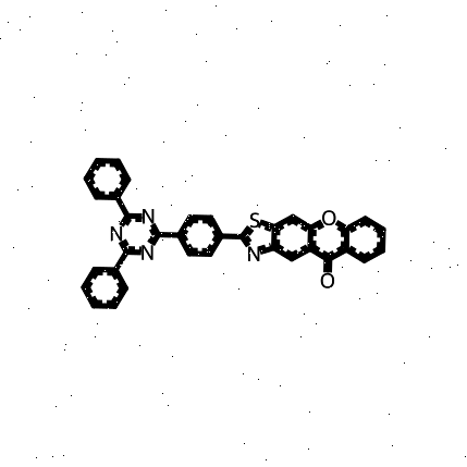 O=c1c2ccccc2oc2cc3sc(-c4ccc(-c5nc(-c6ccccc6)nc(-c6ccccc6)n5)cc4)nc3cc12